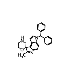 CC(=S)C1(c2cccc3c2ccn3C(c2ccccc2)c2ccccc2)CNCCO1